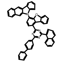 c1ccc(-c2ccc(-c3nc(-c4cccc5ccccc45)nc(-c4ccc(-n5c6ccccc6c6cc7ccccc7cc65)c5oc6ccccc6c45)n3)cc2)cc1